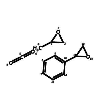 CC1CO1.O=C=O.c1ccc(C2CO2)cc1